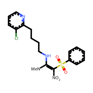 CN/C(NCCCCc1ncccc1Cl)=C(\[N+](=O)[O-])S(=O)(=O)c1ccccc1